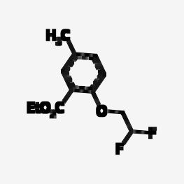 CCOC(=O)c1cc(C)ccc1OCC(F)F